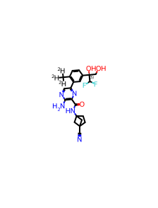 [2H]C([2H])([2H])c1ccc([C@](O)(CO)C(F)F)cc1-c1cnc(N)c(C(=O)NC23CCC(C#N)(C2)C3)n1